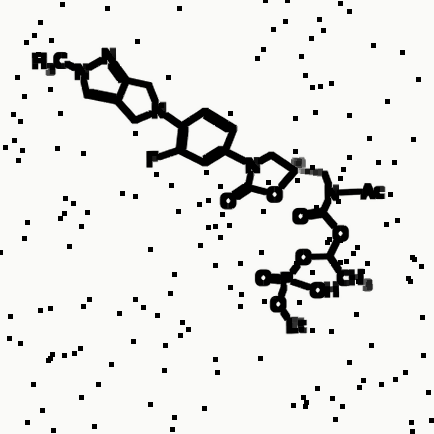 CCOP(=O)(O)OC(C)OC(=O)N(C[C@H]1CN(c2ccc(N3Cc4cn(C)nc4C3)c(F)c2)C(=O)O1)C(C)=O